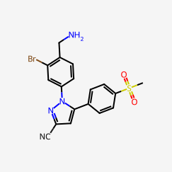 CS(=O)(=O)c1ccc(-c2cc(C#N)nn2-c2ccc(CN)c(Br)c2)cc1